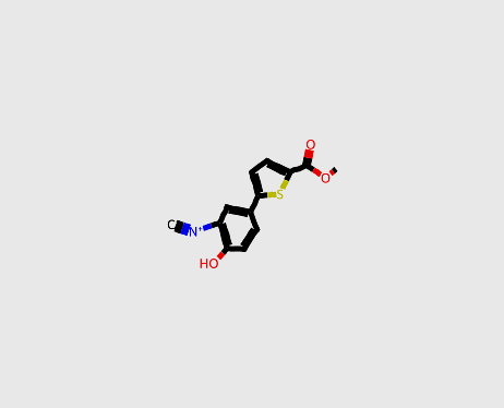 [C-]#[N+]c1cc(-c2ccc(C(=O)OC)s2)ccc1O